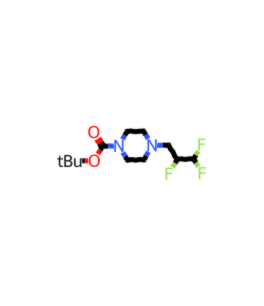 CC(C)(C)OC(=O)N1CCN(CC(F)C(F)F)CC1